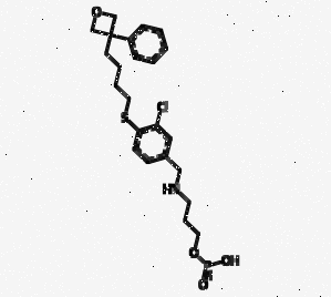 O=[PH](O)OCCCNCc1ccc(SCCCCC2(c3ccccc3)COC2)c(Cl)c1